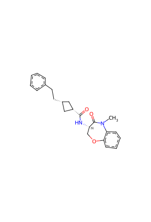 CN1C(=O)[C@@H](NC(=O)[C@H]2C[C@@H](CCc3ccccc3)C2)COc2ccccc21